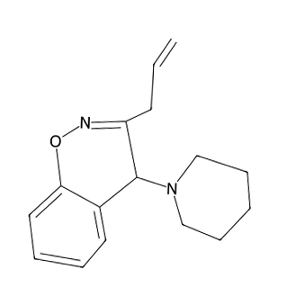 C=CCC1=NOc2ccccc2C1N1CCCCC1